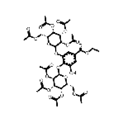 CCOC(=O)c1cc(O)c(OC2O[C@H](COC(C)=O)[C@H](OC(C)=O)[C@H](OC(C)=O)[C@H]2OC(C)=O)c(OC2O[C@H](COC(C)=O)[C@H](OC(C)=O)[C@H](OC(C)=O)[C@H]2OC(C)=O)c1